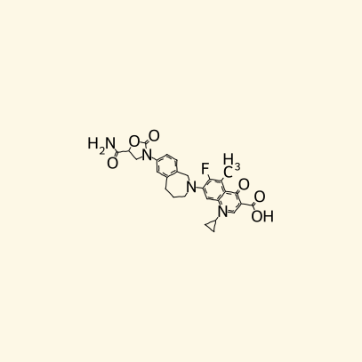 Cc1c(F)c(N2CCCc3cc(N4CC(C(N)=O)OC4=O)ccc3C2)cc2c1c(=O)c(C(=O)O)cn2C1CC1